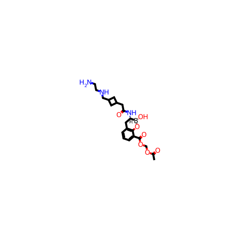 CC(=O)OCOC(=O)c1cccc2c1OB(O)[C@@H](NC(=O)CC1CC(CNCCN)C1)C2